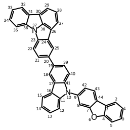 c1ccc2c(c1)oc1cc(-n3c4ccccc4c4cc(-c5ccc6c(c5)c5cccc7c8ccccc8n6c75)ccc43)ccc12